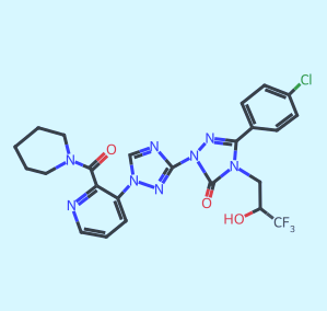 O=C(c1ncccc1-n1cnc(-n2nc(-c3ccc(Cl)cc3)n(CC(O)C(F)(F)F)c2=O)n1)N1CCCCC1